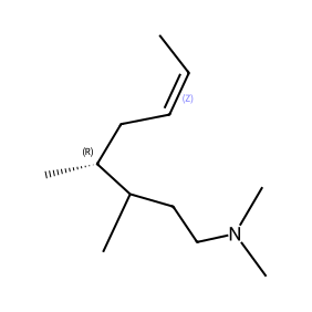 C/C=C\C[C@@H](C)C(C)CCN(C)C